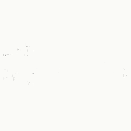 CC/C=C\C/C=C\C/C=C\C/C=C\C/C=C\C/C=C\CCCOC(=O)CCC/C=C\C[C@@H]1[C@@H](CC[C@H](CCCCCCC)O[Si](CC)(CC)CC)[C@H](O[Si](CC)(CC)CC)C[C@@H]1C